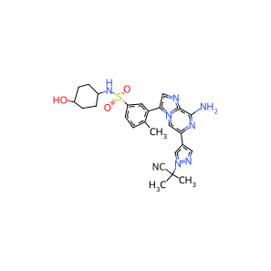 Cc1ccc(S(=O)(=O)NC2CCC(O)CC2)cc1-c1cnc2c(N)nc(-c3cnn(C(C)(C)C#N)c3)cn12